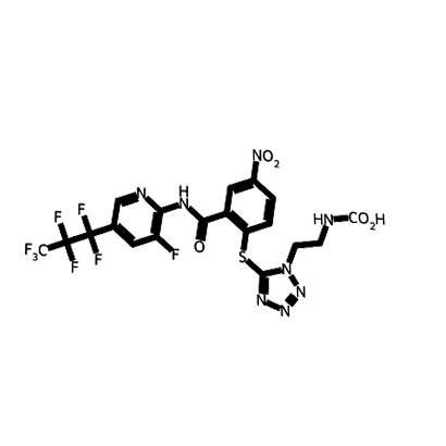 O=C(O)NCCn1nnnc1Sc1ccc([N+](=O)[O-])cc1C(=O)Nc1ncc(C(F)(F)C(F)(F)C(F)(F)F)cc1F